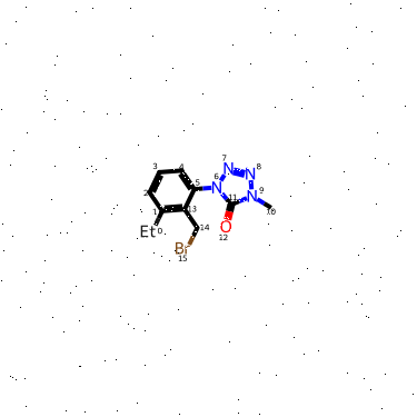 CCc1cccc(-n2nnn(C)c2=O)c1CBr